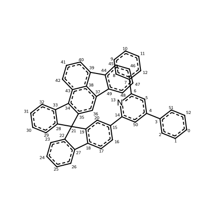 c1ccc(-c2cc(-c3ccccc3)nc(-c3ccc4c(c3)C3(c5ccccc5-4)c4ccccc4-c4c3cc3c5c(cccc45)-c4ccccc4-3)c2)cc1